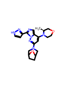 C[C@H]1COCCN1c1cc(N2CC3CCC(C2)O3)nn2c(-c3cc[nH]n3)ncc12